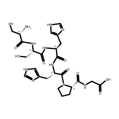 N[C@@H](CO)C(=O)N[C@@H](CO)C(=O)N[C@@H](Cc1c[nH]cn1)C(=O)N[C@@H](Cc1c[nH]cn1)C(=O)N1CCC[C@H]1C(=O)NCC(=O)O